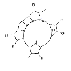 CCC1C2CC3NC(/C=C4/C(C)C(CC)C5CC6C(CC)C(CC)C(CC(N2)C1C)N6P(C)N45)C(CC)C3CC